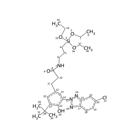 CCO[Si](CCCNC(=O)CCc1cc(-n2nc3ccc(Cl)cc3n2)c(O)c(C(C)(C)C)c1)(OCC)OCC